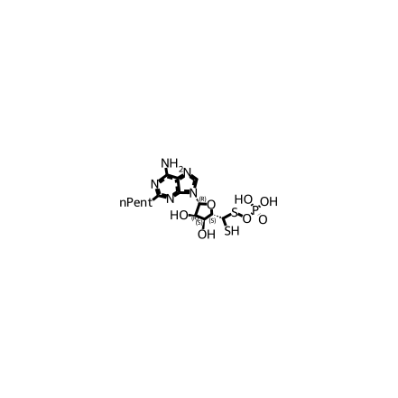 CCCCCc1nc(N)c2ncn([C@@H]3O[C@H](C(S)SOP(=O)(O)O)[C@@H](O)[C@H]3O)c2n1